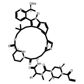 C=CC(=O)N1C[C@@H](C)N(C(=O)N(C)C(C(=O)N[C@H]2Cc3nc(cs3)-c3ccc4c(c3)c(c(-c3cccnc3[C@H](C)OC)n4CC)CC(C)(C)COC(=O)[C@@H]3CCCN(N3)C2=O)C(C)C)C[C@H]1C